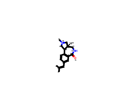 CC(C)=Cc1ccc2c(c1)C(=O)NC[C@H]1CN(C)CC21